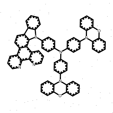 c1ccc2c(c1)Oc1ccccc1N2c1ccc(N(c2ccc(B3c4ccccc4-c4ccc5c6cccnc6c6ncccc6c5c43)cc2)c2ccc(N3c4ccccc4Oc4ccccc43)cc2)cc1